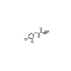 COc1ccc(CC(=O)C(=O)NO)cc1OC